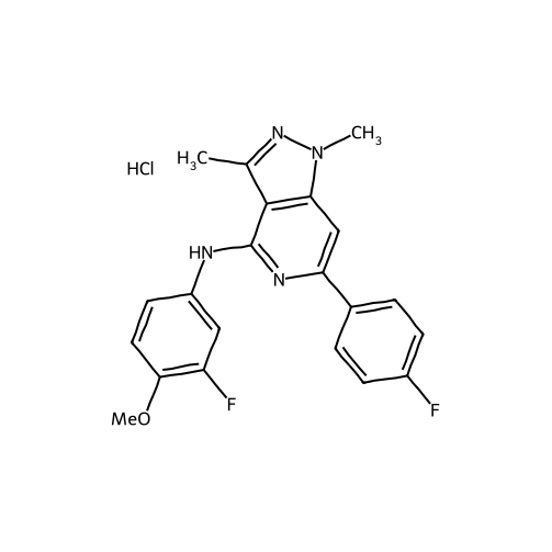 COc1ccc(Nc2nc(-c3ccc(F)cc3)cc3c2c(C)nn3C)cc1F.Cl